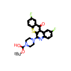 CC(C)(C)OC(O)N1CCN(c2nc3ccc(F)cc3c3c(=O)c4cc(F)ccc4sc23)CC1